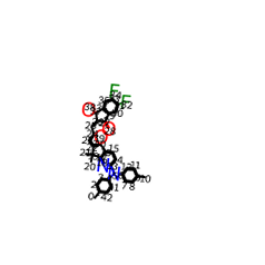 Cc1ccc(N(c2ccc(C)cc2)c2ccc3c(n2)C(C)(C)c2cc(C=C4C(=O)c5cc(F)c(F)cc5C4=O)oc2-3)cc1